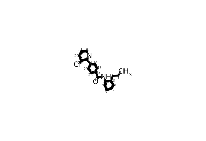 CCCc1ccccc1NC(=O)c1ccc(-c2ncccc2Cl)cc1